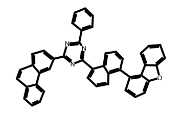 c1ccc(-c2nc(-c3ccc4ccc5ccccc5c4c3)nc(-c3cccc4c(-c5cccc6oc7ccccc7c56)cccc34)n2)cc1